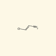 NC=CCl